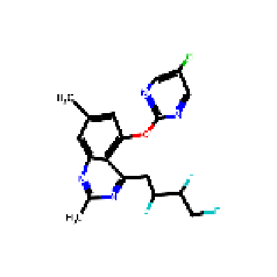 Cc1cc(Oc2ncc(Cl)cn2)c2c(CC(F)C(F)CF)nc(C)nc2c1